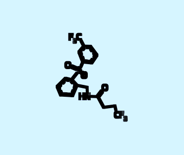 O=C(CCC(F)(F)F)NCc1ccccc1S(=O)(=O)c1cccc(C(F)(F)F)c1